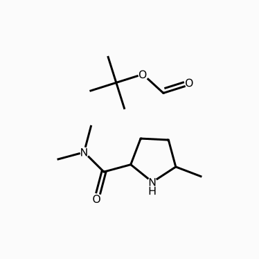 CC(C)(C)OC=O.CC1CCC(C(=O)N(C)C)N1